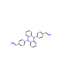 N=Cc1ccc(N2c3ccccc3N(c3ccc(C=N)cc3)c3ccccc32)cc1